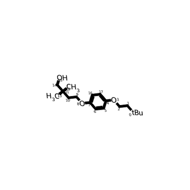 CC(C)(C)CCOc1ccc(OCCC(C)(C)CO)cc1